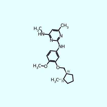 CNc1cc(C)nc(Nc2ccc(OC)c(OC[C@H]3CCC[C@@H]3C)c2)n1